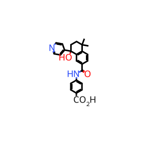 CC1(C)CCC(O)(c2ccncc2)c2cc(C(=O)Nc3ccc(C(=O)O)cc3)ccc21